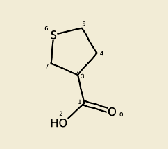 O=C(O)[C]1CCSC1